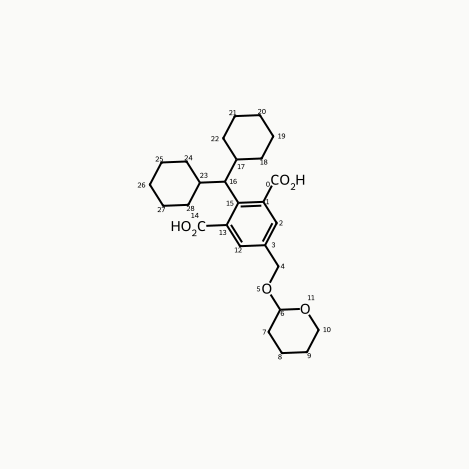 O=C(O)c1cc(COC2CCCCO2)cc(C(=O)O)c1C(C1CCCCC1)C1CCCCC1